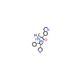 Cc1[nH]c2c(-c3ccccc3)c(-c3ccncc3)cn2c(=O)c1-c1ccc2ncccc2c1